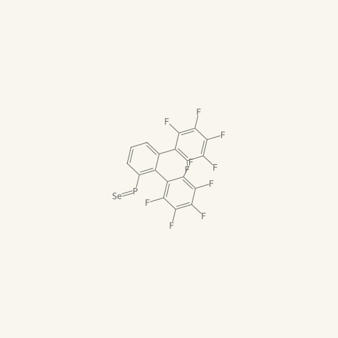 Fc1c(F)c(F)c(-c2cccc(P=[Se])c2-c2c(F)c(F)c(F)c(F)c2F)c(F)c1F